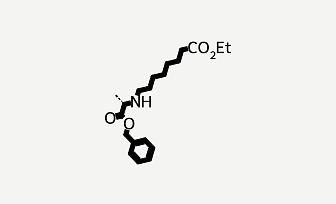 CCOC(=O)CCCCCCCN[C@@H](C)C(=O)OCc1ccccc1